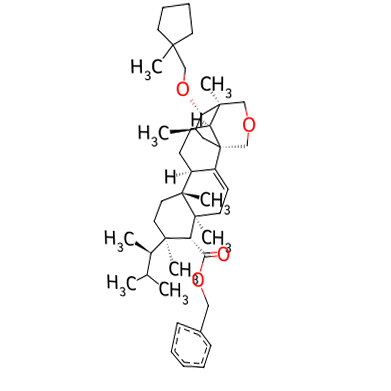 CC(C)[C@@H](C)[C@@]1(C)CC[C@]2(C)[C@H]3CC[C@@H]4[C@@]5(COC[C@]4(C)[C@@H](OCC4(C)CCCC4)[C@H](C)C5)C3=CC[C@@]2(C)[C@@H]1C(=O)OCc1ccccc1